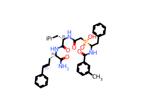 Cc1cccc(C(=O)NC(Cc2ccccc2)P(=O)(O)CC(=O)N[C@@H](CC(C)C)C(=O)N[C@@H](C/C=C/c2ccccc2)C(N)=O)c1